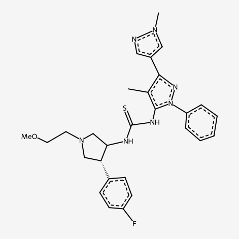 COCCN1CC(NC(=S)Nc2c(C)c(-c3cnn(C)c3)nn2-c2ccccc2)[C@H](c2ccc(F)cc2)C1